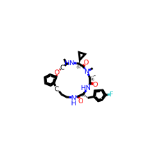 CC1COc2ccccc2CCCNC(=O)[C@@H](Cc2ccc(F)cc2)NC(=O)[C@@H](C)N(C)C(=O)[C@H](C2CC2)N1